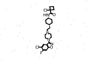 O=C(N[C@H]1CC[C@H](CCN2CCN(c3noc4cc(F)c(Cl)cc34)CC2)CC1)C1(Cl)CCC1